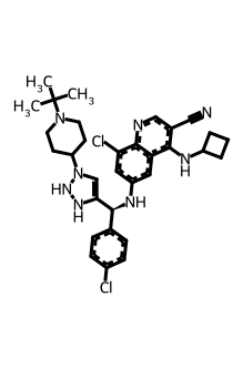 CC(C)(C)N1CCC(N2C=C([C@@H](Nc3cc(Cl)c4ncc(C#N)c(NC5CCC5)c4c3)c3ccc(Cl)cc3)NN2)CC1